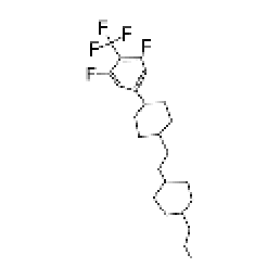 CCCC1CCC(CCC2CCC(c3cc(F)c(C(F)(F)F)c(F)c3)CC2)CC1